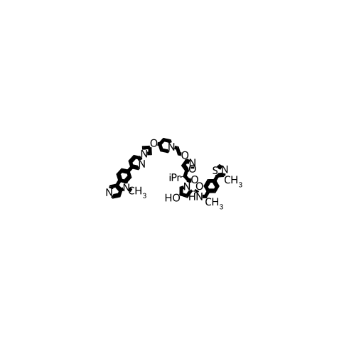 Cc1ncsc1-c1ccc([C@H](C)NC(=O)[C@@H]2C[C@@H](O)CN2C(=O)[C@@H](c2cc(OCCN3CCC(OC4CN(c5ccc(-c6ccc7c8cnccc8n(C)c7c6)cn5)C4)CC3)no2)C(C)C)cc1